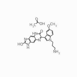 CC(=O)O.COc1ccc2c(c1)c(-c1nc3cc4[nH]c(O)nc4cc3[nH]c1=O)cn2CCCN